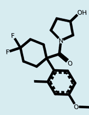 COc1ccc(C2(C(=O)N3CCC(O)C3)CCC(F)(F)CC2)c(C)c1